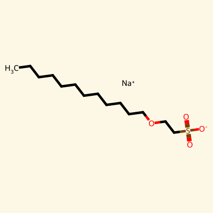 CCCCCCCCCCCCOCCS(=O)(=O)[O-].[Na+]